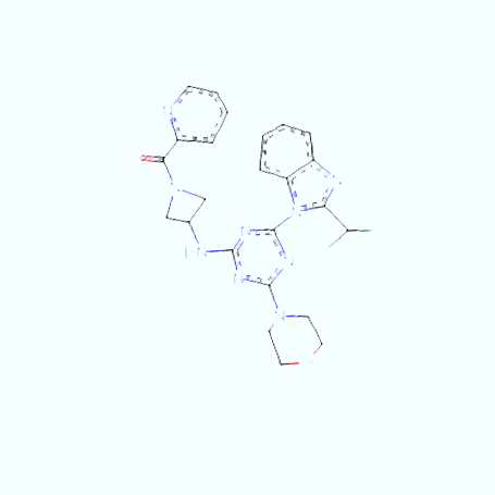 O=C(c1ccccn1)N1CC(Nc2nc(N3CCOCC3)nc(-n3c(C(F)F)nc4ccccc43)n2)C1